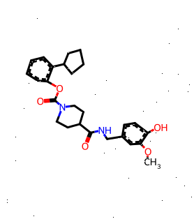 COc1cc(CNC(=O)C2CCN(C(=O)Oc3ccccc3C3CCCC3)CC2)ccc1O